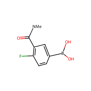 CNC(=O)c1cc(B(O)O)ccc1F